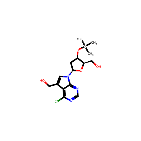 CC(C)(C)[Si](C)(C)O[C@@H]1C[C@H](n2cc(CO)c3c(Cl)ncnc32)O[C@@H]1CO